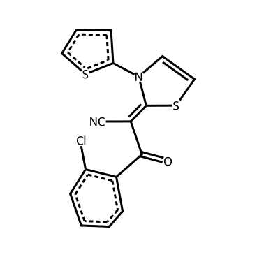 N#CC(C(=O)c1ccccc1Cl)=C1SC=CN1c1cccs1